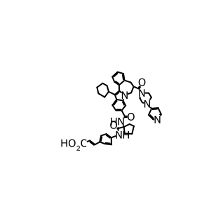 O=C(O)/C=C/c1ccc(NC(=O)C2(NC(=O)c3ccc4c(C5CCCCC5)c5n(c4c3)CC(C(=O)N3CCN(c4ccncc4)CC3)Cc3ccccc3-5)CCCC2)cc1